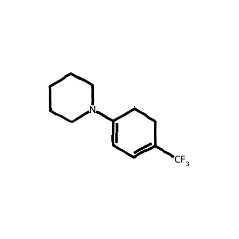 FC(F)(F)C1=CC=C(N2CCCCC2)[CH]C1